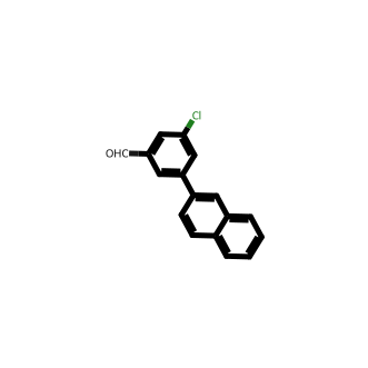 O=Cc1cc(Cl)cc(-c2ccc3ccccc3c2)c1